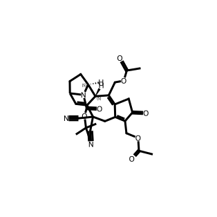 CC(=O)OCC1=C2CC(C#N)(C#N)C3=CC4CC[C@@H]([C@@H]3C(COC(C)=O)=C2CC1=O)N4C(=O)OC(C)(C)C